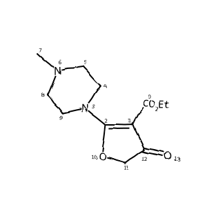 CCOC(=O)C1=C(N2CCN(C)CC2)OCC1=O